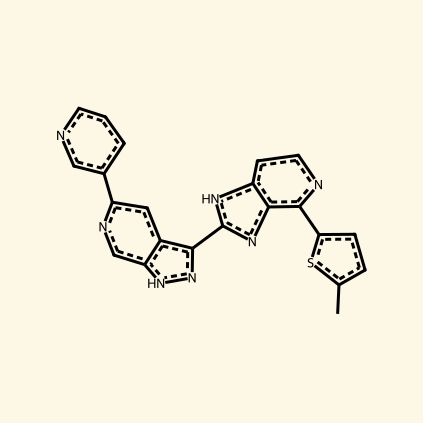 Cc1ccc(-c2nccc3[nH]c(-c4n[nH]c5cnc(-c6cccnc6)cc45)nc23)s1